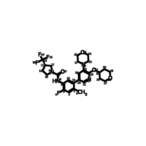 Cc1cc(F)c(NC(=O)N2CC[C@@H](C(F)(F)F)C2)cc1-c1cnc(OC2CCOCC2)c(N2CCOCC2)c1